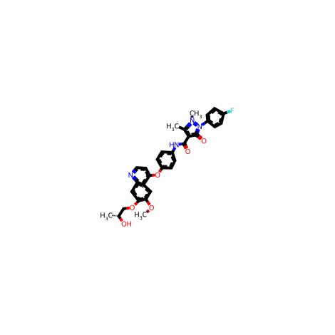 COc1cc2c(Oc3ccc(NC(=O)c4c(C)n(C)n(-c5ccc(F)cc5)c4=O)cc3)ccnc2cc1OC[C@@H](C)O